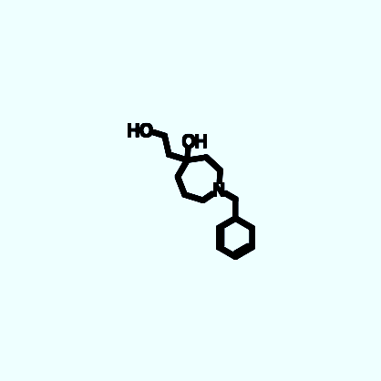 OCCC1(O)CCCN(CC2C=CC=CC2)CC1